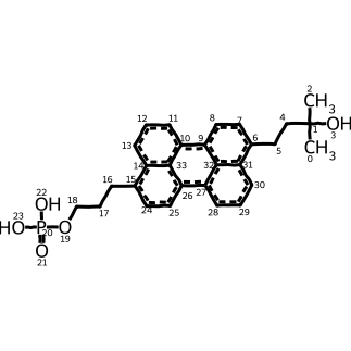 CC(C)(O)CCc1ccc2c3cccc4c(CCCOP(=O)(O)O)ccc(c5cccc1c52)c43